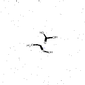 C/C=N/O.O=C(O)O